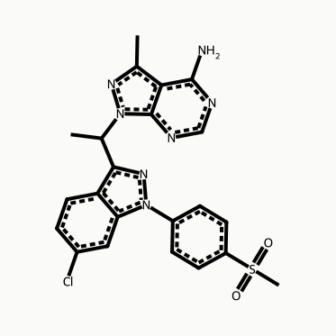 Cc1nn(C(C)c2nn(-c3ccc(S(C)(=O)=O)cc3)c3cc(Cl)ccc23)c2ncnc(N)c12